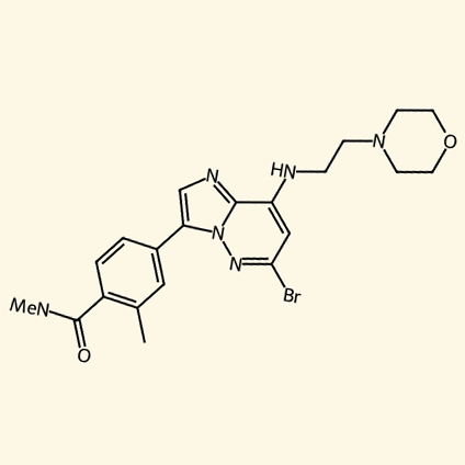 CNC(=O)c1ccc(-c2cnc3c(NCCN4CCOCC4)cc(Br)nn23)cc1C